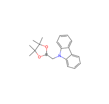 CC1(C)OB(Cn2c3ccccc3c3ccccc32)OC1(C)C